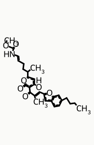 CCCCc1ccc2cc(/C=C(\C)C(=O)c3c(O)cc(C(C)CC/C=C/NC(=O)OC)oc3=O)oc2c1